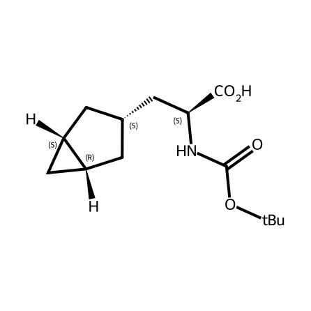 CC(C)(C)OC(=O)N[C@@H](C[C@@H]1C[C@@H]2C[C@@H]2C1)C(=O)O